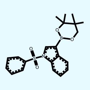 CC1(C)COB(c2cn(S(=O)(=O)c3ccccc3)c3ccccc23)OC1(C)C